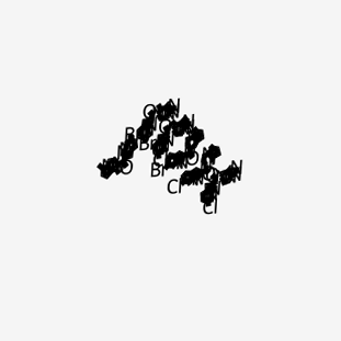 CC1c2cnnn2CCN1C(=O)c1cc2ccc(Br)cn2n1.CC1c2cnnn2CCN1C(=O)c1cc2ccc(Cl)cn2n1.Cc1ccc2n1CCN(C(=O)c1cc3ccc(Br)cn3n1)C2.Cc1ccc2n1CCN(C(=O)c1cc3ccc(Br)cn3n1)C2C.Cc1ccc2n1CCN(C(=O)c1cc3ccc(Cl)cn3n1)C2.O=C(c1cc2ccc(Cl)cn2n1)N1CCn2nncc2C1